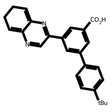 CC(C)(C)c1ccc(-c2cc(C(=O)O)cc(-c3cnc4c(n3)=CCCC=4)c2)cc1